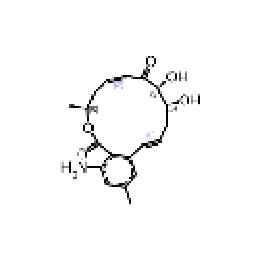 Cc1cc(N)c2c(c1)/C=C/C[C@H](O)[C@H](O)C(=O)/C=C\C[C@H](C)OC2=O